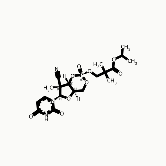 CC(C)OC(=O)C(C)(C)CO[P@@]1(=O)OC[C@H]2O[C@@H](n3ccc(=O)[nH]c3=O)[C@](C)(C#N)[C@@H]2O1